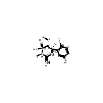 CC[C@@H]1[C@@](C)(c2cc(F)ccc2F)NC(=N)N(C)S1(=O)=O